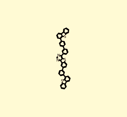 c1cc(-c2ccc3sc4c(-c5cccc(-c6ccc(-c7cccc8c7sc7ccccc78)cc6)c5)ncnc4c3c2)cc(-c2cccc3c2sc2ccccc23)c1